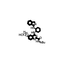 CCCCNC(=O)c1nc(N[C@H]2CCCC[C@H]2NC2=NCc3ccccc32)c2cc(C)ccc2n1.Cl.Cl